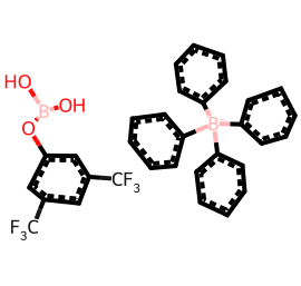 OB(O)Oc1cc(C(F)(F)F)cc(C(F)(F)F)c1.c1ccc([B-](c2ccccc2)(c2ccccc2)c2ccccc2)cc1